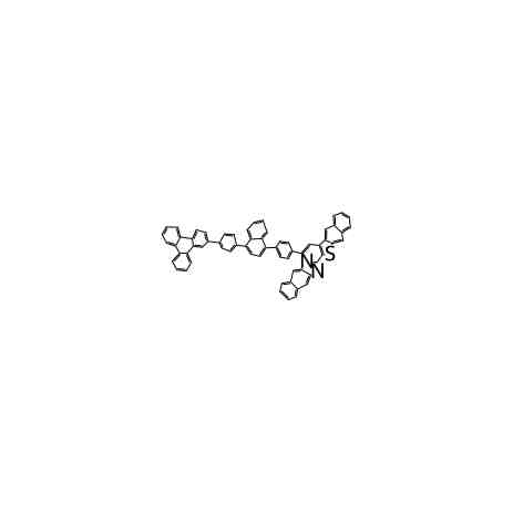 c1ccc2cc3c(cc2c1)nc1c2sc4cc5ccccc5cc4c2cc(-c2ccc(-c4ccc(-c5ccc(-c6ccc7c8ccccc8c8ccccc8c7c6)cc5)c5ccccc45)cc2)n31